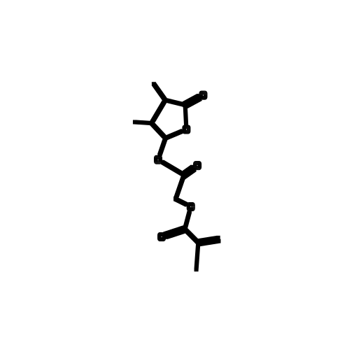 C=C(C)C(=O)OCC(=O)OC1OC(=O)C(C)C1C